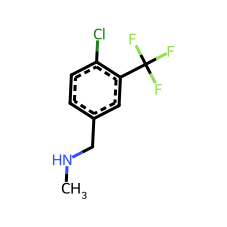 CNCc1ccc(Cl)c(C(F)(F)F)c1